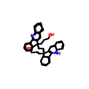 OCCCC1(CCC2(CCCO)C3=C(NC4C=CC=CC4=C3)C3=CC=CCC32)c2ccccc2-c2nc3ccccc3cc21